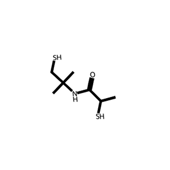 CC(S)C(=O)NC(C)(C)CS